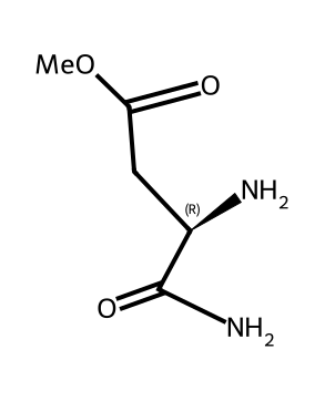 COC(=O)C[C@@H](N)C(N)=O